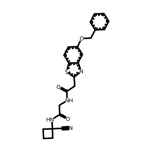 N#CC1(NC(=O)CNC(=O)Cc2nc3cc(OCc4ccccc4)ccc3s2)CCC1